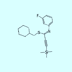 C[Si](C)(C)C#CC(=Nc1cccc(F)c1)SCC1CCCCC1